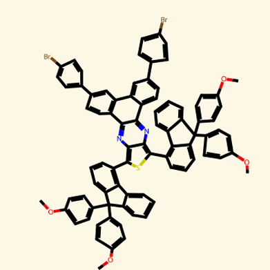 COc1ccc(C2(c3ccc(OC)cc3)c3ccccc3-c3c(-c4sc(-c5cccc6c5-c5ccccc5C6(c5ccc(OC)cc5)c5ccc(OC)cc5)c5nc6c7ccc(-c8ccc(Br)cc8)cc7c7cc(-c8ccc(Br)cc8)ccc7c6nc45)cccc32)cc1